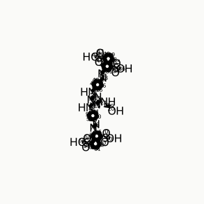 O=S(=O)(O)c1cc(/N=N/c2ccc(Nc3nc(NCCO)nc(Nc4ccc(/N=N/c5cc(S(=O)(=O)O)c6cccc(S(=O)(=O)O)c6c5)cc4)n3)cc2)cc2c(S(=O)(=O)O)cccc12